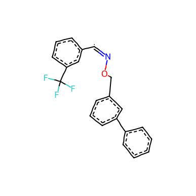 FC(F)(F)c1cccc(/[C]=N\OCc2cccc(-c3ccccc3)c2)c1